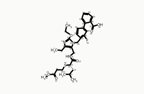 CCOc1nc(CC)c(CNC(=O)[C@H](CC(C)C)SCCC(=O)OC)n1Cc1ccc(-c2ccccc2C(=O)O)cc1F